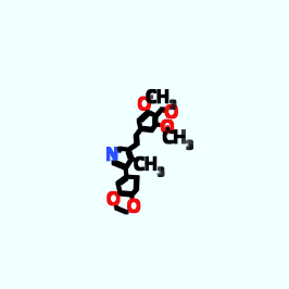 COc1cc(/C=C/c2cncc(-c3ccc4c(c3)OCCO4)c2C)cc(OC)c1C=O